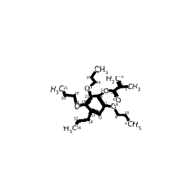 C=C(C)C(=O)Oc1c(OCCC)cc(CCC)c(OCCC)c1OCCC